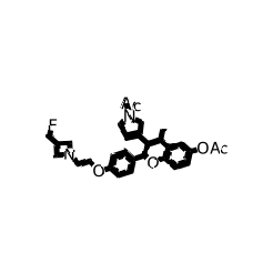 CC(=O)Oc1ccc2c(c1)C(C)=C(C1=CCN(C(C)=O)C1)C(c1ccc(OCCN3CC(CF)C3)cc1)O2